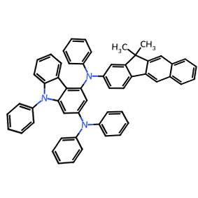 CC1(C)c2cc(N(c3ccccc3)c3cc(N(c4ccccc4)c4ccccc4)cc4c3c3ccccc3n4-c3ccccc3)ccc2-c2cc3ccccc3cc21